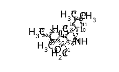 C=CC(C=O)c1c2c(c(-c3ccc(C)c(C)c3)c(C)c1-c1ccc(CC)c(C)c1)N2